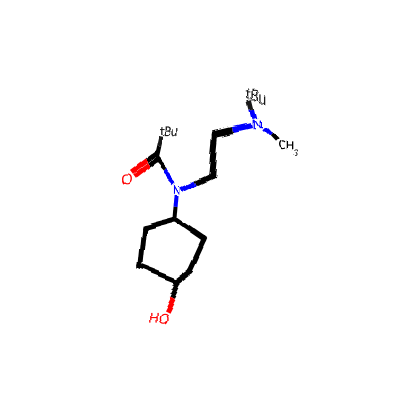 CN(CCN(C(=O)C(C)(C)C)C1CCC(O)CC1)C(C)(C)C